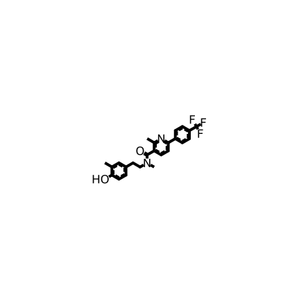 Cc1cc(CCN(C)C(=O)c2ccc(-c3ccc(C(F)(F)F)cc3)nc2C)ccc1O